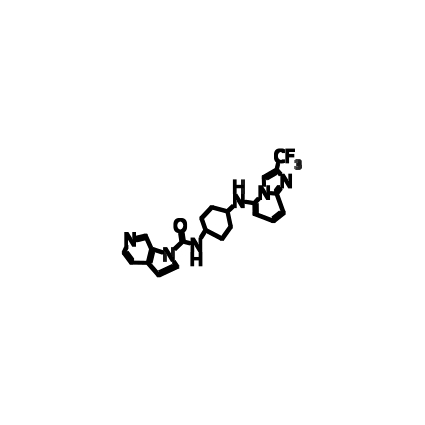 O=C(NC1CCC(Nc2cccc3nc(C(F)(F)F)cn23)CC1)n1ccc2ccncc21